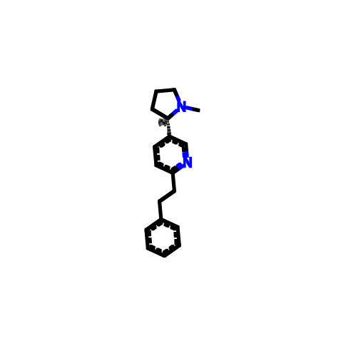 CN1CCC[C@H]1c1ccc(CCc2ccccc2)nc1